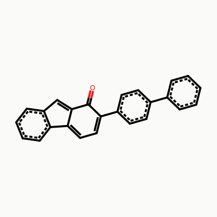 O=C1C2=Cc3ccccc3C2=CC=C1c1ccc(-c2ccccc2)cc1